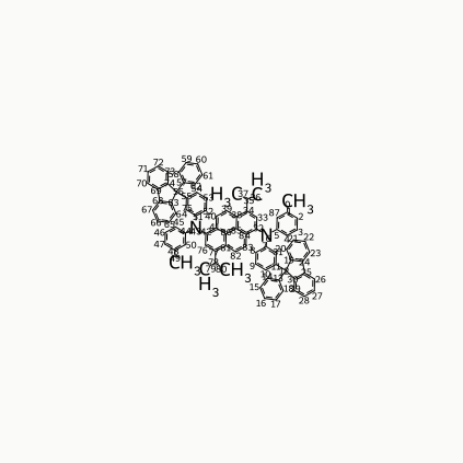 Cc1cccc(N(c2cccc(C3(c4ccccc4)c4ccccc4-c4ccccc43)c2)c2cc(C(C)C)c3ccc4c(N(c5cccc(C)c5)c5cccc(C6(c7ccccc7)c7ccccc7-c7ccccc76)c5)cc(C(C)C)c5ccc2c3c54)c1